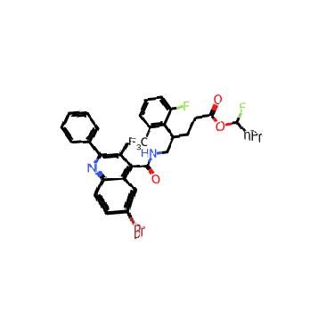 CCCC(F)OC(=O)CCC(CNC(=O)c1c(C)c(-c2ccccc2)nc2ccc(Br)cc12)c1c(F)cccc1C(F)(F)F